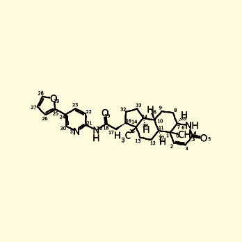 C[C@]12C=CC(=O)N[C@@H]1CC[C@@H]1[C@@H]2CC[C@]2(C)[C@@H](CC(=O)Nc3ccc(-c4ccco4)cn3)CC[C@@H]12